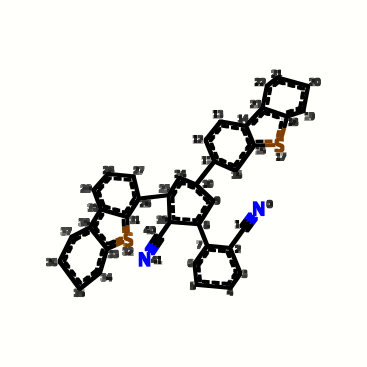 N#Cc1ccccc1-c1cc(-c2ccc3c(c2)sc2ccccc23)cc(-c2cccc3c2sc2ccccc23)c1C#N